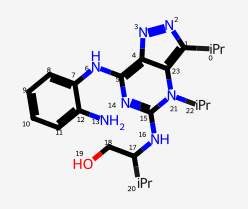 CC(C)c1nnc2c(Nc3ccccc3N)nc(NC(CO)C(C)C)n(C(C)C)c1-2